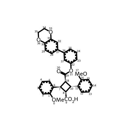 COc1ccccc1[C@@H]1[C@H](C(=O)O)[C@@H](c2ccccc2OC)[C@@H]1C(=O)Oc1cccc(-c2ccc3c(c2)OCCO3)c1